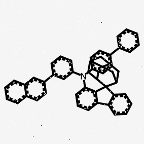 c1ccc(-c2ccc(N(c3cccc(-c4ccc5ccccc5c4)c3)c3cccc4c3C3(c5ccccc5-4)C4CC5CC(C4)CC3C5)cc2)cc1